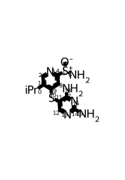 CC(C)c1cnc([S+](N)[O-])cc1Sc1cnc(N)nc1N